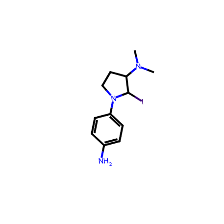 CN(C)C1CCN(c2ccc(N)cc2)C1I